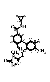 Cc1cc(OCc2n[nH]c(=O)n2C)c(-c2cc(C(=O)NC3CC3)ccc2P)cc1Cl